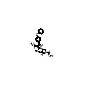 CC(C)(C)OC(=O)N1CC2[C@@H](CNc3c(C(N)=O)c(-c4ccc(Oc5ccccc5)cc4)nn32)C1